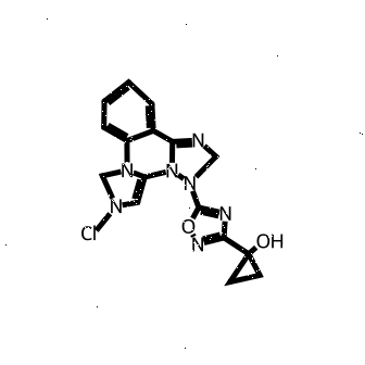 OC1(c2noc(N3CN=C4c5ccccc5N5CN(Cl)C=C5N43)n2)CC1